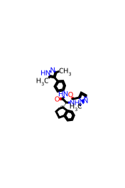 Cc1n[nH]c(C)c1-c1ccc(NC(=O)C(NC(=O)c2ccnn2C)[C@H]2CCCc3ccccc32)cc1